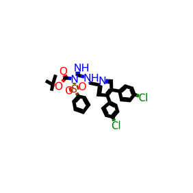 CC(C)(C)OC(=O)N(C(=N)NCc1cc(-c2ccc(Cl)cc2)c(-c2ccc(Cl)cc2)cn1)S(=O)(=O)c1ccccc1